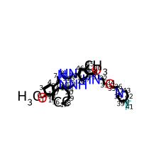 COc1ccc(-c2cnc3n2C2(CCCCCCCCC2)CNC3Nc2ccc(C(=O)NCCOCCN3CCC(F)CC3)c(C)c2)cc1